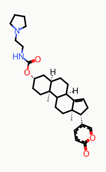 C[C@]12CCC3[C@@H](CC[C@@H]4C[C@@H](OC(=O)NCCN5CCCC5)CC[C@]34C)C1=CC[C@@H]2c1ccc(=O)oc1